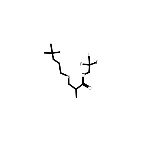 CC(CSCCCC(C)(C)C)C(=O)OCC(F)(F)F